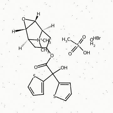 Br.CS(=O)(=O)O.C[N+]1(C)[C@@H]2CC(OC(=O)C(O)(c3cccs3)c3cccs3)C[C@H]1[C@@H]1O[C@@H]12.O